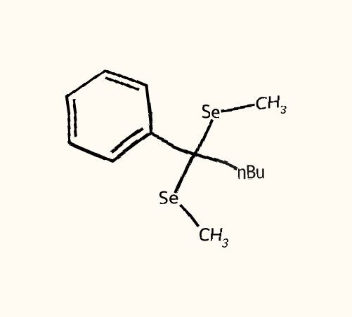 CCCCC([Se]C)([Se]C)c1ccccc1